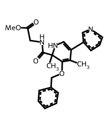 COC(=O)CNC(=O)C1(C)NC=C(c2cccnc2)C(C)=C1OCc1ccccc1